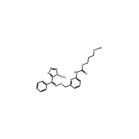 CC(C)OCCCOC(=O)Nc1cccc(CO/N=C(/c2ccccc2)c2nnnn2C)n1